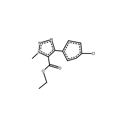 CCOC(=O)c1c(-c2ccc(Cl)cc2)nnn1C